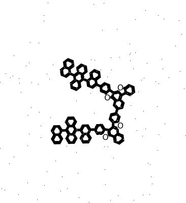 c1ccc2c(-c3c4ccccc4c(-c4ccc(-c5ccc6c(c5)oc5c7cc(-c8ccc9c(c8)oc8c%10ccccc%10c%10oc%11cc(-c%12ccc(-c%13c%14ccccc%14c(-c%14cccc%15ccccc%14%15)c%14ccccc%13%14)c%13ccccc%12%13)ccc%11c%10c98)ccc7c7c8ccccc8oc7c65)c5ccccc45)c4ccccc34)cccc2c1